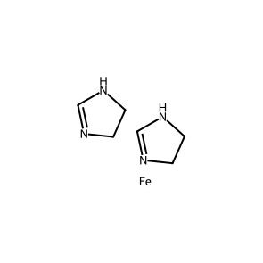 C1=NCCN1.C1=NCCN1.[Fe]